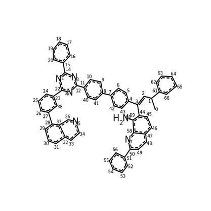 CC(/C=C(/c1ccc(-c2ccc(-c3nc(-c4ccccc4)nc(-c4cccc(-c5cccc6ccncc56)c4)n3)cc2)cc1)c1ccc2ccc(-c3ccccc3)nc2c1N)c1ccccc1